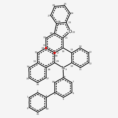 c1ccc(-c2cccc(N(c3ccccc3-c3cccc4c3oc3ccccc34)c3cccc4ccccc34)c2)cc1